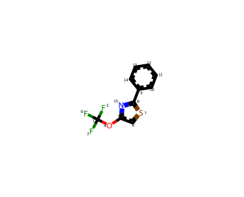 FC(F)(F)Oc1csc(-c2cc[c]cc2)n1